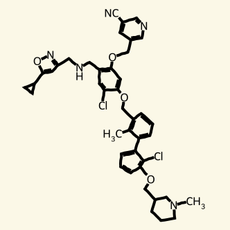 Cc1c(COc2cc(OCc3cncc(C#N)c3)c(CNCc3cc(C4CC4)on3)cc2Cl)cccc1-c1cccc(OCC2CCCN(C)C2)c1Cl